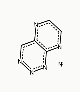 [N].c1cnc2nnncc2n1